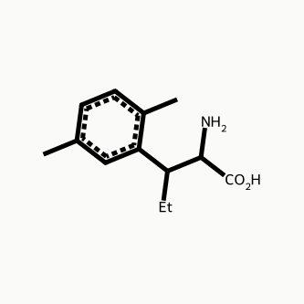 CCC(c1cc(C)ccc1C)C(N)C(=O)O